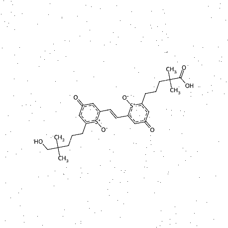 CC(C)(CO)CCCc1cc(=O)cc(C=Cc2cc(=O)cc(CCCC(C)(C)C(=O)O)[s+]2[O-])[s+]1[O-]